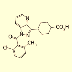 Cc1cccc(Cl)c1C(=O)n1nc(C2CCC(C(=O)O)CC2)c2ncccc21